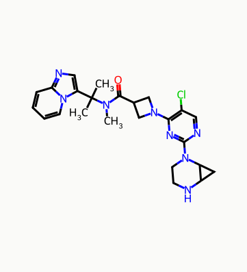 CN(C(=O)C1CN(c2nc(N3CCNC4CC43)ncc2Cl)C1)C(C)(C)c1cnc2ccccn12